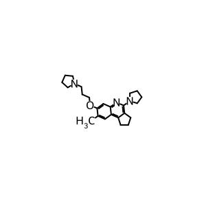 Cc1cc2c3c(c(N4CCCC4)nc2cc1OCCCN1CCCC1)CCC3